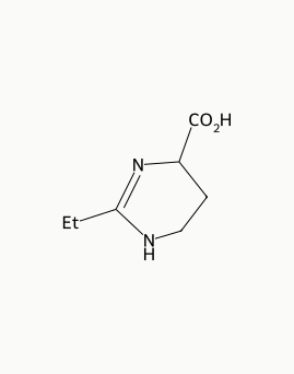 CCC1=NC(C(=O)O)CCN1